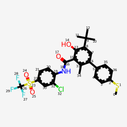 CSc1ccc(-c2cc(C(C)(C)C)c(O)c(C(=O)Nc3ccc(S(=O)(=O)C(F)(F)F)cc3Cl)c2C)cc1